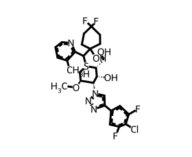 CO[C@H]1C[SH](C(c2ncccc2C)C2(O)CCC(F)(F)CC2)[C@H](CO)[C@H](O)[C@@H]1n1cc(-c2cc(F)c(Cl)c(F)c2)nn1